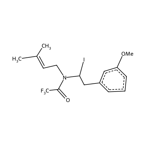 COc1cccc(CC(I)N(CC=C(C)C)C(=O)C(F)(F)F)c1